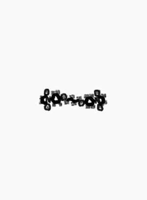 O=C1C=CC(=O)N1c1ccc(OCCCCOc2ccc(N3C(=O)C=CC3=O)cc2)cc1